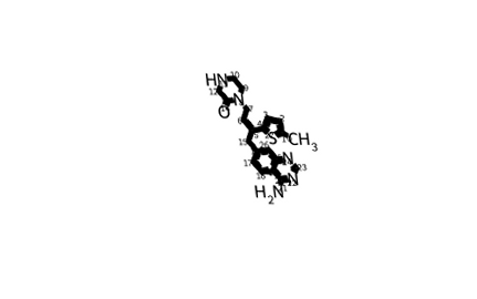 Cc1ccc(C(=CCN2CCNCC2=O)Cc2ccc3c(N)ncnc3c2)s1